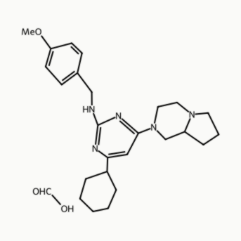 COc1ccc(CNc2nc(C3CCCCC3)cc(N3CCN4CCCC4C3)n2)cc1.O=CO